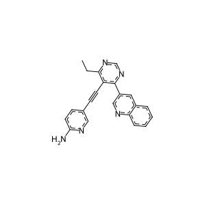 CCc1ncnc(-c2cnc3ccccc3c2)c1C#Cc1ccc(N)nc1